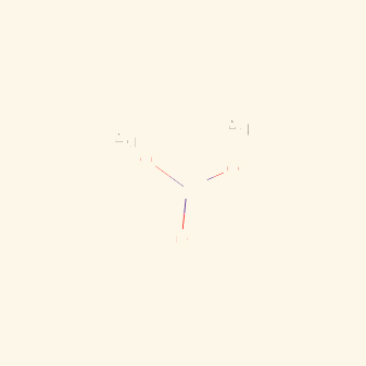 [Ag+].[Ag].[O-][I+2]([O-])[O-]